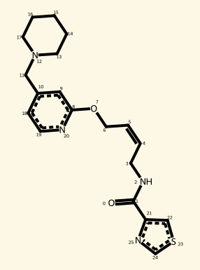 O=C(NC/C=C\COc1cc(CN2CCCCC2)ccn1)c1cscn1